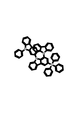 c1ccc(-n2c3ccccc3c3ccc(-n4c5ccccc5c5cc([Si](c6ccccc6)(c6ccccc6)c6ccccc6)cc(-n6c7ccccc7c7ccccc76)c54)cc32)cc1